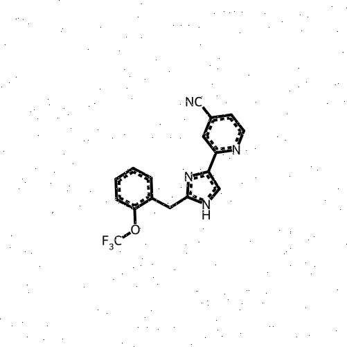 N#Cc1ccnc(-c2c[nH]c(Cc3ccccc3OC(F)(F)F)n2)c1